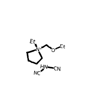 CCOC[N+]1(CC)CCCC1.N#CNC#N